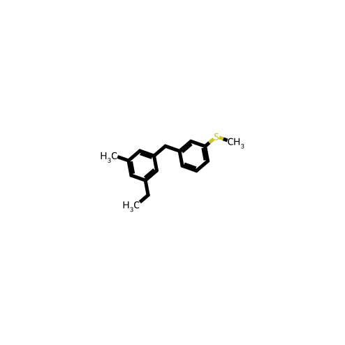 CCc1cc(C)cc(Cc2cccc(SC)c2)c1